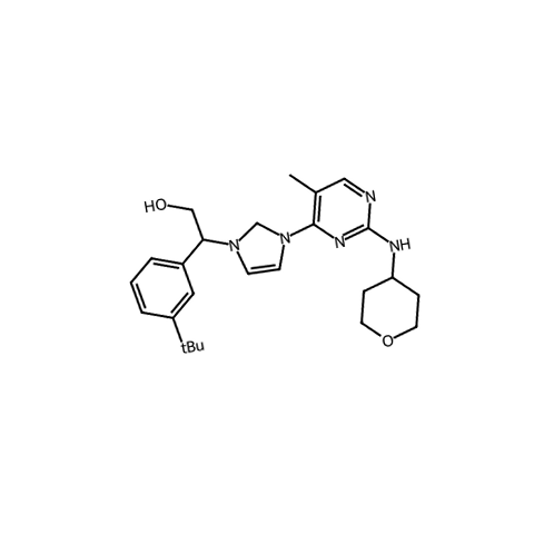 Cc1cnc(NC2CCOCC2)nc1N1C=CN(C(CO)c2cccc(C(C)(C)C)c2)C1